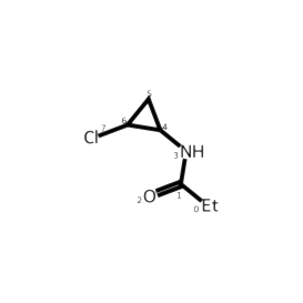 CCC(=O)NC1CC1Cl